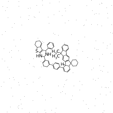 CC1(C)c2ccccc2-c2cc3c(cc21)[C@H]1C(c2ccc(C4=CC(C5NC6=C(C7=CCCCC7S6)C(c6ccccc6)N5)=CCC4)cc2)=CC=CC1C31CCCCC1